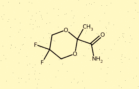 CC1(C(N)=O)OCC(F)(F)CO1